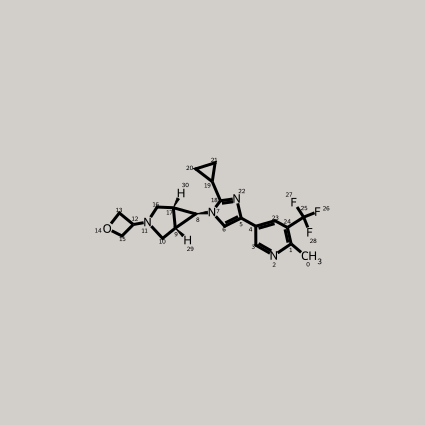 Cc1ncc(-c2cn([C@H]3[C@@H]4CN(C5COC5)C[C@@H]43)c(C3CC3)n2)cc1C(F)(F)F